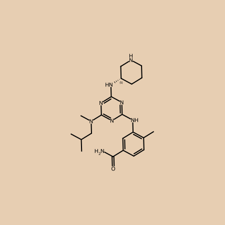 Cc1ccc(C(N)=O)cc1Nc1nc(N[C@H]2CCCNC2)nc(N(C)CC(C)C)n1